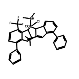 CC1=Cc2c(-c3ccccc3)ccc(C(F)(F)F)c2[CH]1[Zr]([Cl])([Cl])([CH]1C(C(C)C)=Cc2c(-c3ccccc3)cccc21)[SiH](C)C